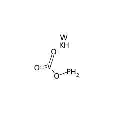 [KH].[O]=[V](=[O])[O]P.[W]